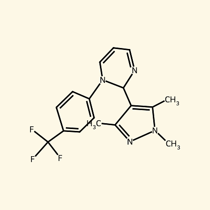 Cc1nn(C)c(C)c1C1N=CC=CN1c1ccc(C(F)(F)F)cc1